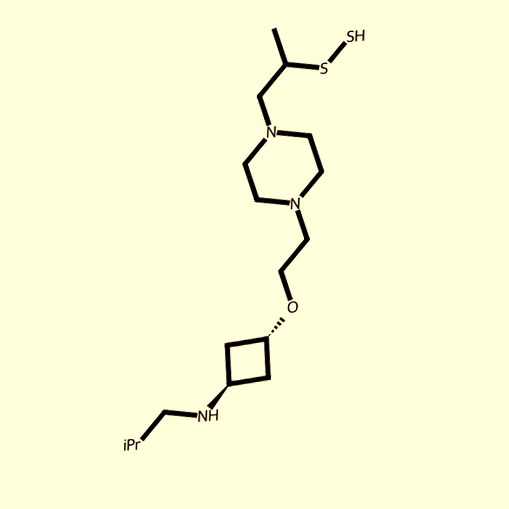 CC(C)CN[C@H]1C[C@H](OCCN2CCN(CC(C)SS)CC2)C1